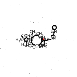 C=CC[C@H]1C[C@@H](C)CN[C@H](C)[C@H]2N(CCCCn3cc(-c4nc5ccccc5s4)nn3)C(=O)O[C@]2(C)[C@@H](CC)OC(=O)[C@H](C)C(=O)[C@H](C)[C@H]1O[C@@H]1OC(C)CC(N(C)C)C1O